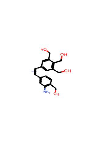 Nc1cc(/C=C\c2cc(CO)c(CO)c(CO)c2)ccc1CO